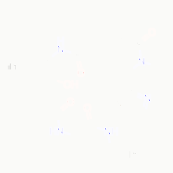 CCN(Cc1nc(C)cs1)C(=O)c1cccc(C(=O)NC(CC(C)C)C(O)CC(C)C(=O)NC(C(=O)NCC(C)C)C(C)C)c1